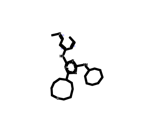 C\C=C/C(=C\C=N/C)Nc1nc(NC2CCCCCCC2)nc(C2CCCCCCCCC2)n1